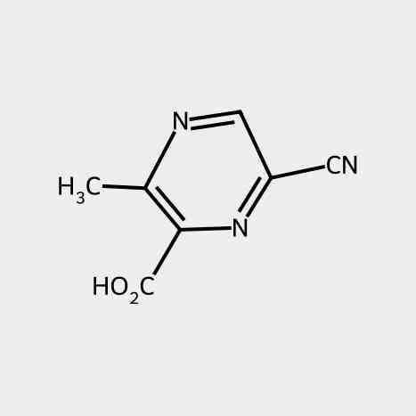 Cc1ncc(C#N)nc1C(=O)O